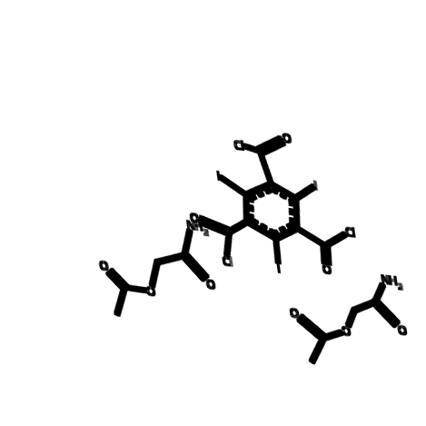 CC(=O)OCC(N)=O.CC(=O)OCC(N)=O.O=C(Cl)c1c(I)c(C(=O)Cl)c(I)c(C(=O)Cl)c1I